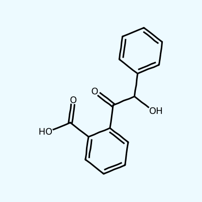 O=C(O)c1ccccc1C(=O)C(O)c1ccccc1